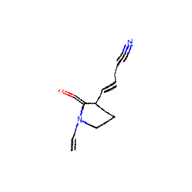 C=CN1CCC(C=CC#N)C1=O